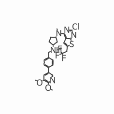 COc1cc(-c2ccc(CN[C@H]3CC[C@@H](N(C)c4nc(Cl)nc5sc(CC(F)(F)F)cc45)C3)cc2)cnc1OC